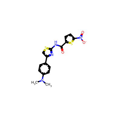 CN(C)c1ccc(-c2csc(NC(=O)c3ccc([N+](=O)[O-])s3)n2)cc1